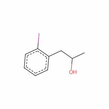 CC(O)Cc1ccccc1I